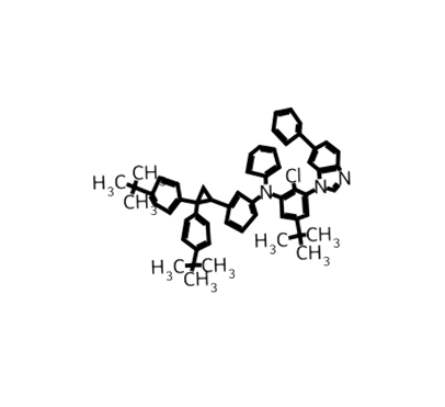 CC(C)(C)c1ccc(C2(c3ccc(C(C)(C)C)cc3)CC2c2cccc(N(c3ccccc3)c3cc(C(C)(C)C)cc(-n4cnc5ccc(-c6ccccc6)cc54)c3Cl)c2)cc1